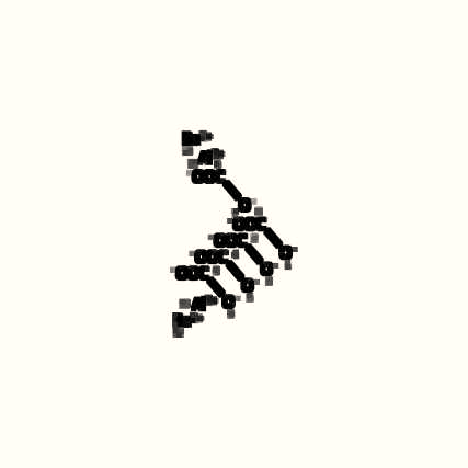 O=C([O-])[O-].O=C([O-])[O-].O=C([O-])[O-].O=C([O-])[O-].O=C([O-])[O-].[Al+3].[Al+3].[Ba+2].[Ba+2]